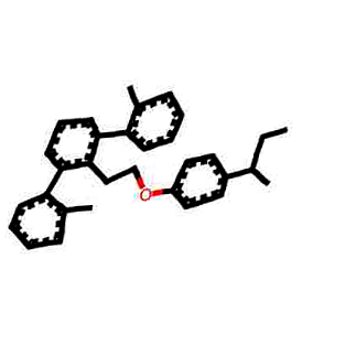 CCC(C)c1ccc(OCCc2c(-c3ccccc3C)cccc2-c2ccccc2C)cc1